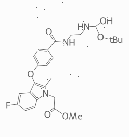 COC(=O)Cn1c(C)c(Oc2ccc(C(=O)NCCNC(O)OC(C)(C)C)cc2)c2cc(F)ccc21